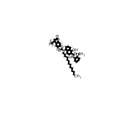 CCCCCCCCCCCCCCN(C(=O)Oc1cc2oc(=O)cc(C(F)(F)F)c2cc1Cl)c1cccc2c(O)c(C(=O)Nc3ccccc3OC)ccc12